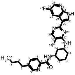 CCCCc1ccc(C(=O)N[C@@H]2CCC[C@H](Nc3nc(-c4c[nH]c5ncc(F)cc45)ncc3F)C2)nc1